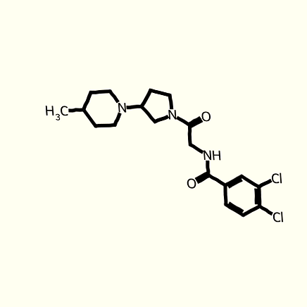 CC1CCN(C2CCN(C(=O)CNC(=O)c3ccc(Cl)c(Cl)c3)C2)CC1